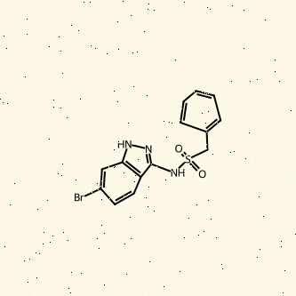 O=S(=O)(Cc1ccccc1)Nc1n[nH]c2cc(Br)ccc12